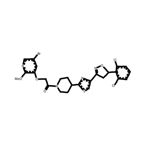 COc1ncc(Br)cc1OCC(=O)N1CCC(c2nc(C3=NOC(c4c(Cl)cccc4Cl)C3)cs2)CC1